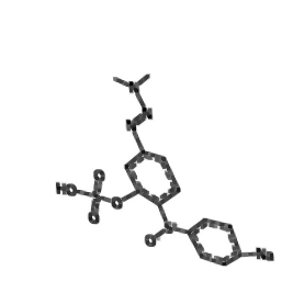 CN(C)N=Nc1ccc([S+]([O-])c2cc[c]([Na])cc2)c(OS(=O)(=O)O)c1